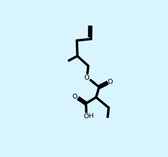 C=CCC(C)COC(=O)C(CC)C(=O)O